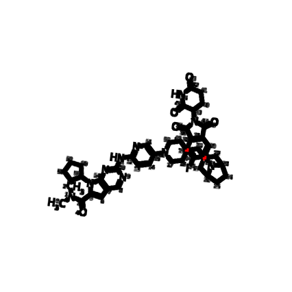 CN(C)C(=O)c1cc2cnc(Nc3ccc(N4CCC(CN5CC6CCC(C5)N6c5cc6c(cc5F)C(=O)N(C5CCC(=O)NC5=O)C6=O)CC4)cn3)nc2n1C1CCCC1